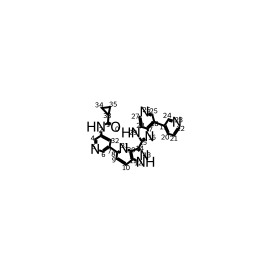 O=C(Nc1cncc(-c2ccc3[nH]nc(-c4nc5c(-c6cccnc6)cncc5[nH]4)c3n2)c1)C1CC1